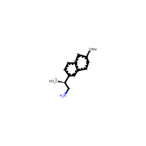 COc1ccc2cc([C@@H](CN)C(=O)O)ccc2c1